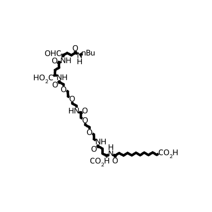 CCCCNC(=O)CC[C@@H](C=O)NC(=O)CCC(NC(=O)COCCOCCNC(=O)COCCOCCNC(=O)CC[C@H](NC(=O)CCCCCCCCCCC(=O)O)C(=O)O)C(=O)O